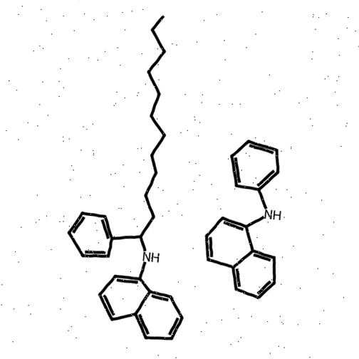 CCCCCCCCCCCC(Nc1cccc2ccccc12)c1ccccc1.c1ccc(Nc2cccc3ccccc23)cc1